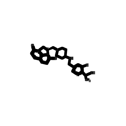 CC(O)c1ncc(CNC2CCN(C[C@@H]3Cn4c(=O)ccc5ccc(=O)n3c54)CC2)cc1Cl